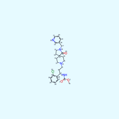 COC(=O)NC(CCN1CCC2(CC1)CCN(Cc1cccnc1)C2=O)c1ccccc1Cl